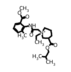 CC[N+]1(CC(=O)Nc2c(C)cccc2C(=O)OC)CCCC(C(=O)OCC(C)C)C1